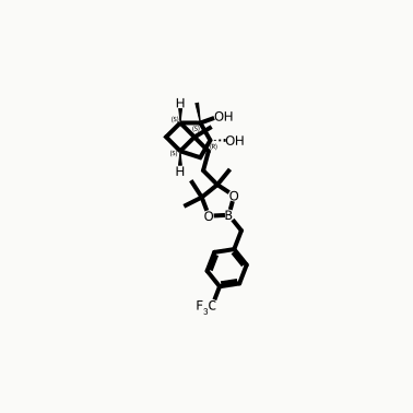 CC1(CCC2(C)OB(Cc3ccc(C(F)(F)F)cc3)OC2(C)C)[C@@H]2C[C@@H](O)[C@@](C)(O)[C@H]1C2